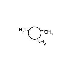 CCC1CCCCC(C)CCCCC(N)CC1